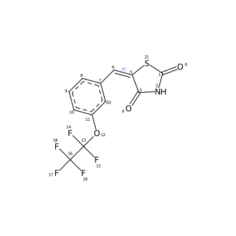 O=C1NC(=O)/C(=C\c2cccc(OC(F)(F)C(F)(F)F)c2)S1